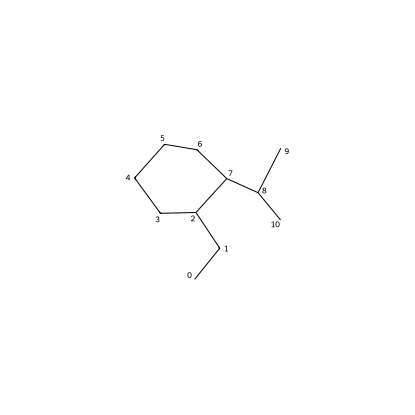 CCC1CCCCC1C(C)C